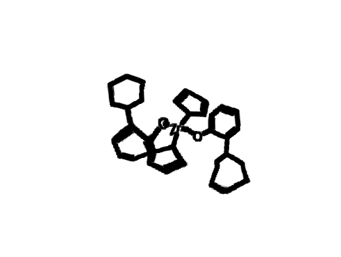 C1=C[CH]([Zr]([O]c2ccccc2C2CCCCC2)([O]c2ccccc2C2CCCCC2)[CH]2C=CC=C2)C=C1